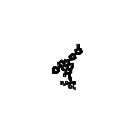 CN(C)C(=O)C#Cc1cc2cnc(Nc3ccc(C4CCCNC4)cc3)nc2n(Cc2nccnc2-c2ccncc2)c1=O